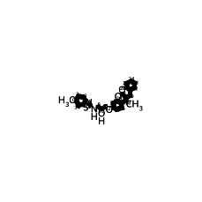 Cc1ccc2nc(NCC(O)COc3ccc4c(C)c(Cc5ccccc5)c(=O)oc4c3)sc2c1